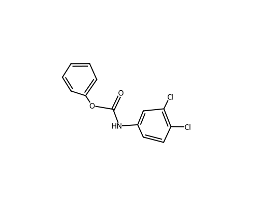 O=C(Nc1ccc(Cl)c(Cl)c1)Oc1ccccc1